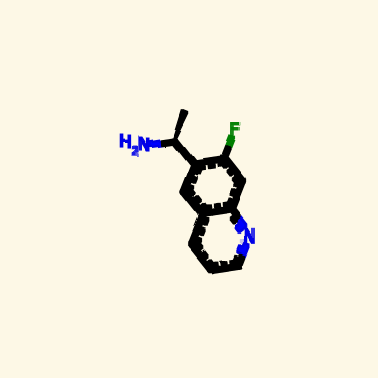 C[C@H](N)c1cc2cccnc2cc1F